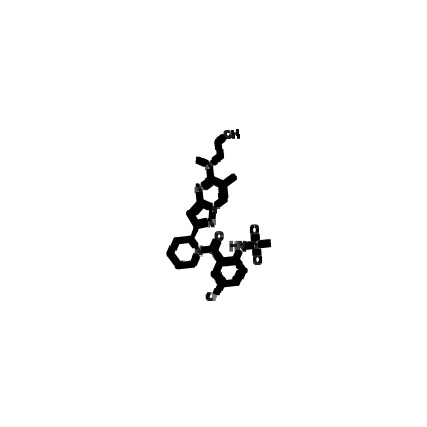 Cc1cn2nc([C@@H]3CCCCN3C(=O)c3cc(Cl)ccc3NS(C)(=O)=O)cc2nc1N(C)CCO